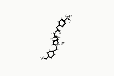 CCS(=O)(=O)c1ccc(CC(=O)Nc2nc3c(s2)CN(CC2CCN(CC(F)(F)F)CC2)[C@H]3C(C)C)cc1